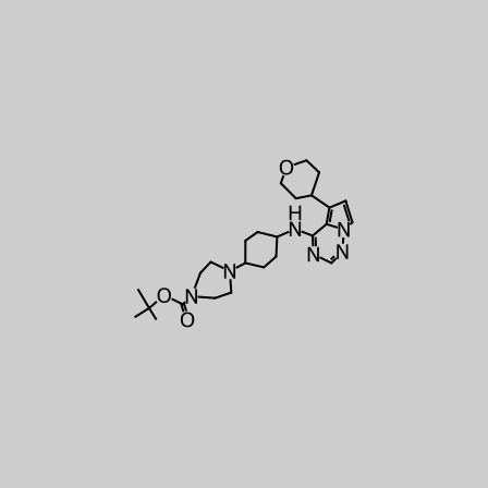 CC(C)(C)OC(=O)N1CCN(C2CCC(Nc3ncnn4ccc(C5CCOCC5)c34)CC2)CC1